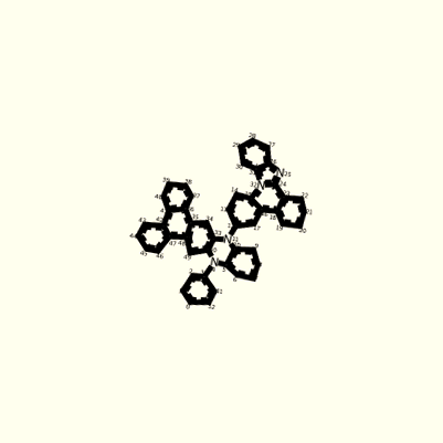 c1ccc(N2c3ccccc3N(c3ccc4c(c3)c3ccccc3c3nc5ccccc5n43)c3cc4c5ccccc5c5ccccc5c4cc32)cc1